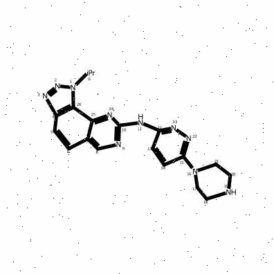 CC(C)n1nnc2ccc3cnc(Nc4ccc(N5CCNCC5)nn4)nc3c21